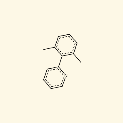 Cc1cccc(C)c1-c1c[c]ccn1